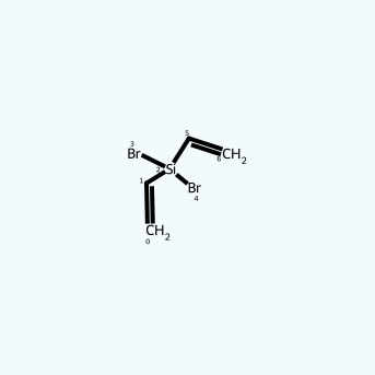 C=C[Si](Br)(Br)C=C